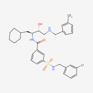 O=C(N[C@@H](CC1CCCCC1)[C@H](O)CNCc1cccc(C(F)(F)F)c1)c1cccc(S(=O)(=O)NCc2cccc(Cl)c2)c1